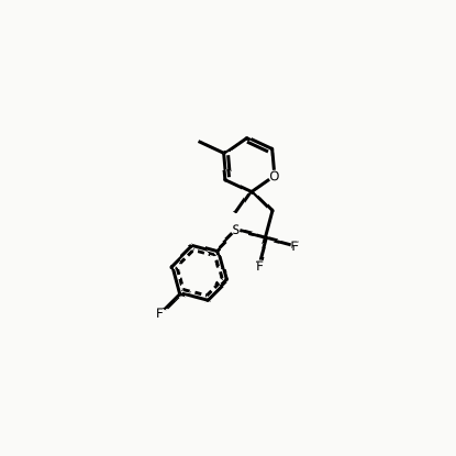 CC1=CC(C)(CC(F)(F)Sc2ccc(F)cc2)OC=C1